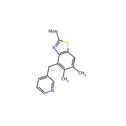 CNc1nc2c(Cc3cccnc3)c(C)c(C)cc2s1